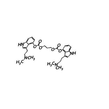 CN(C)CCc1c[nH]c2cccc(OC(=O)OCCCOC(=O)Oc3cccc4[nH]cc(CCN(C)C)c34)c12